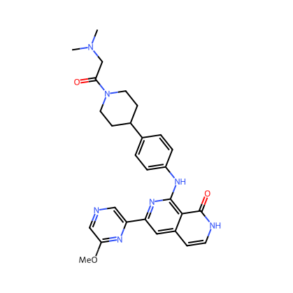 COc1cncc(-c2cc3cc[nH]c(=O)c3c(Nc3ccc(C4CCN(C(=O)CN(C)C)CC4)cc3)n2)n1